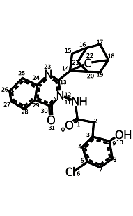 O=C(Cc1cc(Cl)ccc1O)Nn1c(C23CC4CC(CC2C4)C3)nc2ccccc2c1=O